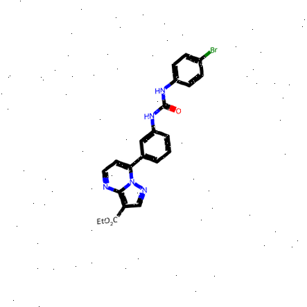 CCOC(=O)c1cnn2c(-c3cccc(NC(=O)Nc4ccc(Br)cc4)c3)ccnc12